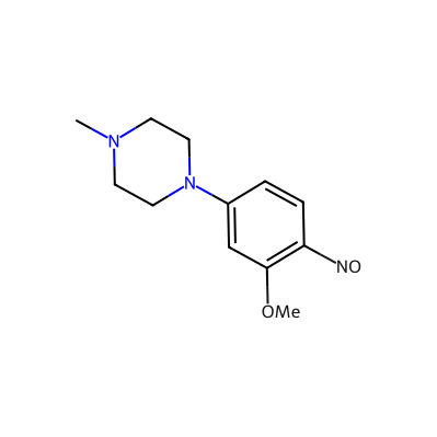 COc1cc(N2CCN(C)CC2)ccc1N=O